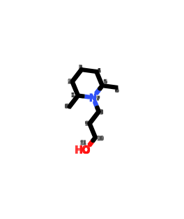 CC1CCCC(C)N1CCCO